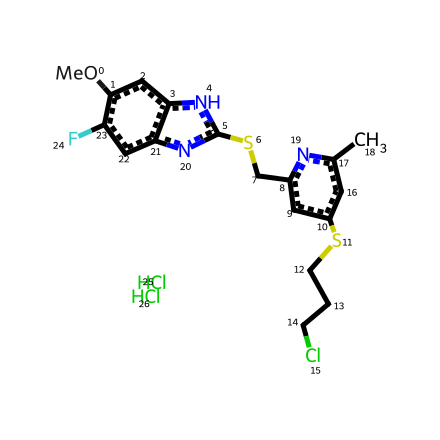 COc1cc2[nH]c(SCc3cc(SCCCCl)cc(C)n3)nc2cc1F.Cl.Cl